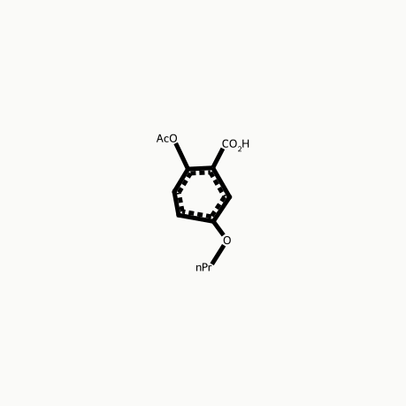 CCCOc1ccc(OC(C)=O)c(C(=O)O)c1